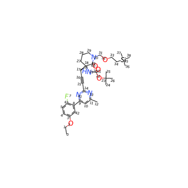 CCOc1ccc(F)c(-c2cc(C)nc(C#CC[C@@]3(NC(=O)OC(C)(C)C)CCCN(COCC[Si](C)(C)C)C3=O)n2)c1